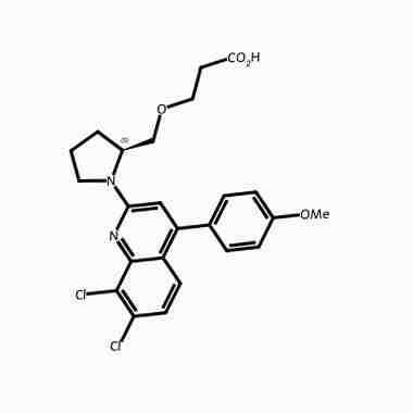 COc1ccc(-c2cc(N3CCC[C@H]3COCCC(=O)O)nc3c(Cl)c(Cl)ccc23)cc1